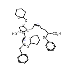 O=C(O)C(CC/C=C\C[C@@H]1[C@@H](/C=C/[C@H](Cc2ccccc2)OC2CCCCO2)[C@H](O)C[C@@H]1OC1CCCCO1)[Se]c1ccccc1